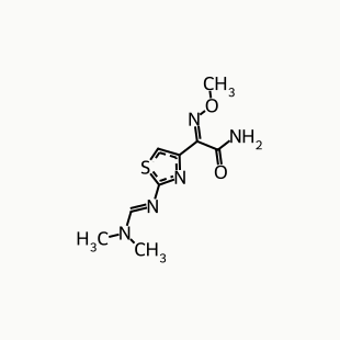 CON=C(C(N)=O)c1csc(N=CN(C)C)n1